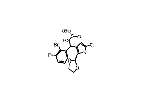 CC(C)(C)[S@@+]([O-])NC(c1cc(Cl)sc1C1OCCO1)c1cccc(F)c1Br